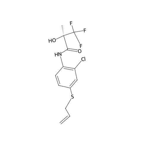 C=CCSc1ccc(NC(=O)[C@@](C)(O)C(F)(F)F)c(Cl)c1